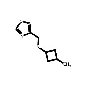 CC1CC(NCc2ncon2)C1